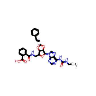 CCNC(=O)Nc1ncnc2c1ncn2C1OC(CNC(=O)c2ccccc2C(=O)O)C2O[C@H](/C=C/c3ccccc3)OC21